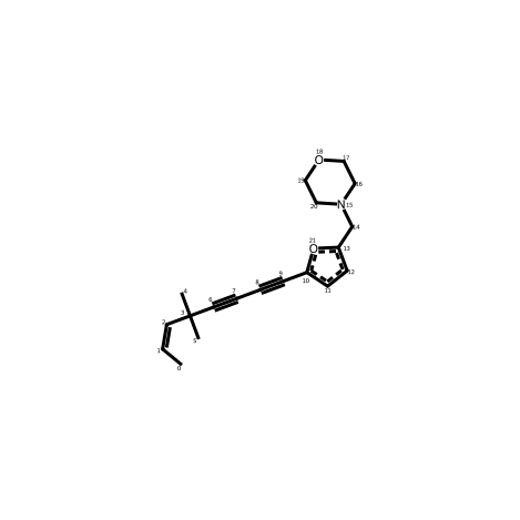 C/C=C\C(C)(C)C#CC#Cc1ccc(CN2CCOCC2)o1